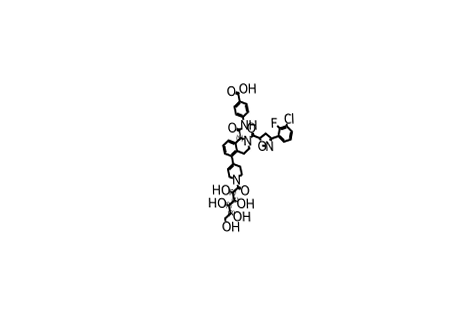 O=C(O)c1ccc(NC(=O)[C@@H]2c3cccc(C4=CCN(C(=O)[C@H](O)[C@@H](O)[C@H](O)[C@H](O)CO)CC4)c3CCN2C(=O)C2CC(c3cccc(Cl)c3F)=NO2)cc1